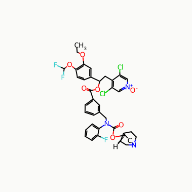 CCOc1cc(C(Cc2c(Cl)c[n+]([O-])cc2Cl)OC(=O)c2cccc(CN(C(=O)O[C@H]3CN4CCC3CC4)c3ccccc3F)c2)ccc1OC(F)F